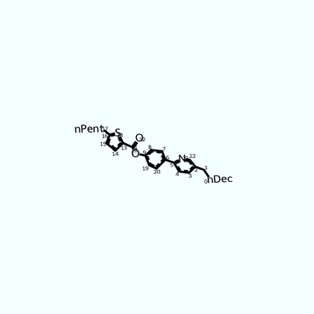 CCCCCCCCCCCc1ccc(-c2ccc(OC(=O)c3ccc(CCCCC)s3)cc2)nc1